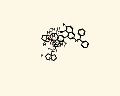 C#Cc1c(F)ccc2cc(N=C(c3ccccc3)c3ccccc3)cc(-c3cc4c5c(nc(OC[C@@]67CCCN6C[C@H](F)C7)nc5c3F)N3C[C@H]5CC[C@@H]([C@@H]3[C@@H](C)C4)N5C(=O)OC(C)(C)C)c12